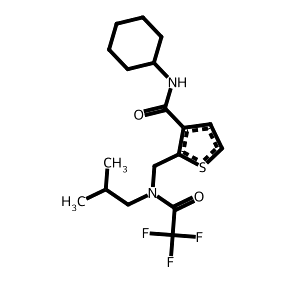 CC(C)CN(Cc1sccc1C(=O)NC1CCCCC1)C(=O)C(F)(F)F